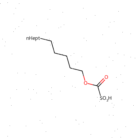 CCCCCCCCCCCCOC(=O)S(=O)(=O)O